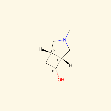 CN1C[C@H]2C[C@@H](O)[C@H]2C1